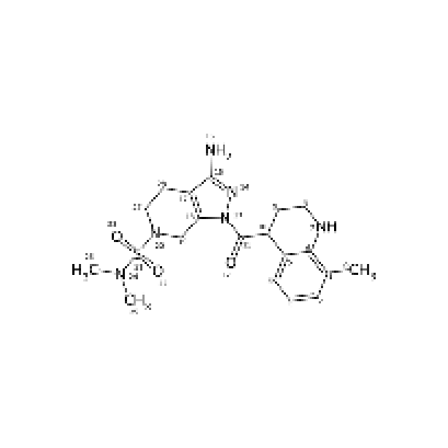 Cc1cccc2c1NCCC2C(=O)n1nc(N)c2c1CN(S(=O)(=O)N(C)C)CC2